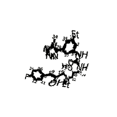 CCc1cc(NC(=O)N[C@H](C)[C@@H](O)CN(CC)[C@@H](C)[C@H](O)Cc2ccc(F)cc2)cc(-c2nnnn2C)c1